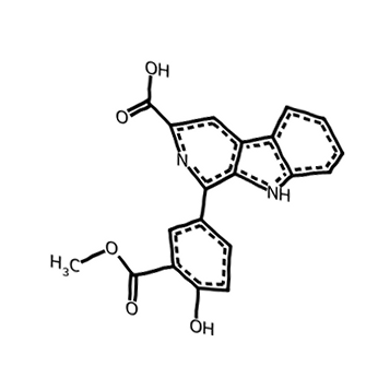 COC(=O)c1cc(-c2nc(C(=O)O)cc3c2[nH]c2ccccc23)ccc1O